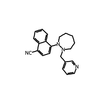 N#Cc1ccc(N2CCCCCN2Cc2cccnc2)c2ccccc12